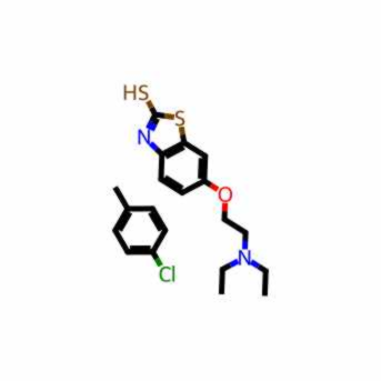 CCN(CC)CCOc1ccc2nc(S)sc2c1.Cc1ccc(Cl)cc1